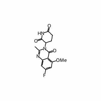 COc1cc(F)cc2nc(C)n(C3CCC(=O)NC3=O)c(=O)c12